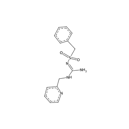 N/C(=N\S(=O)(=O)Cc1ccccc1)NCc1ccccn1